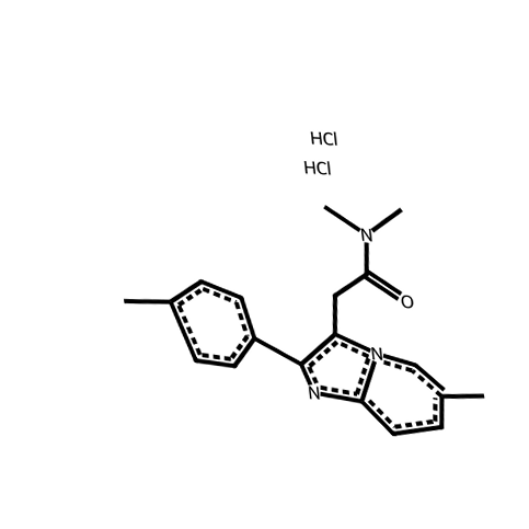 Cc1ccc(-c2nc3ccc(C)cn3c2CC(=O)N(C)C)cc1.Cl.Cl